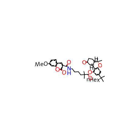 CCCCCCC(C)(C)c1cc(OC(=O)C(C)(C)CCCCNC(=O)c2cc3ccc(OC)cc3oc2=O)c2c(c1)OC(C)(C)[C@H]1CCC(=O)C[C@@H]21